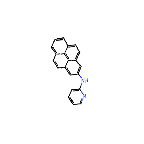 c1ccc(Nc2cc3ccc4cccc5ccc(c2)c3c45)nc1